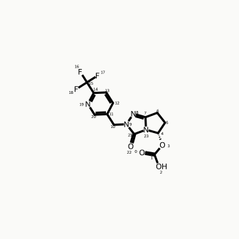 O=C(O)O[C@H]1CCc2nn(Cc3ccc(C(F)(F)F)nc3)c(=O)n21